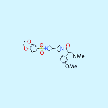 CNCC(C(=O)N1CC(=C2CN(S(=O)(=O)c3ccc4c(c3)OCCO4)C2)C1)c1cccc(OC)c1